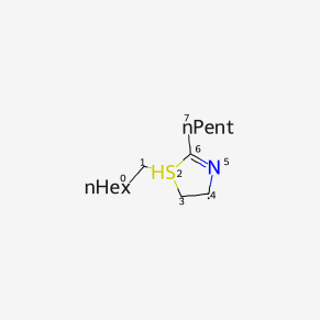 CCCCCCC[SH]1C[CH]N=C1CCCCC